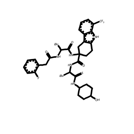 CCC(C)C(NC(=O)Cc1ccccc1F)C(=O)NC1(C(=O)NC(C(=S)NC2CCC(O)CC2)C(C)CC)CCc2[nH]c3c(C(F)(F)F)cccc3c2C1